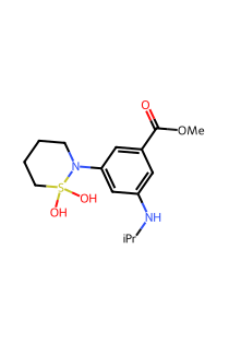 COC(=O)c1cc(NC(C)C)cc(N2CCCCS2(O)O)c1